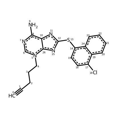 C#CCCCn1cnc(N)c2nc(Sc3ccc(Cl)c4ccccc34)nc1-2